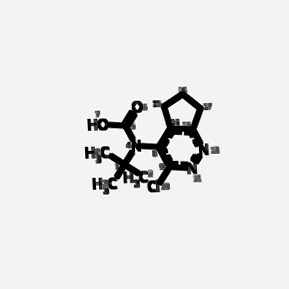 CC(C)(C)N(C(=O)O)c1c(Cl)nnc2c1CCC2